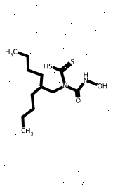 CCCCC(CCCC)CN(C(=O)NO)C(=S)S